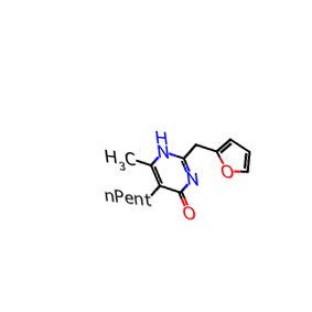 CCCCCc1c(C)[nH]c(Cc2ccco2)nc1=O